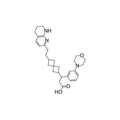 O=C(O)CC(c1cccc(N2CCOCC2)c1)C1CC2(CC(CCc3ccc4c(n3)NCCC4)C2)C1